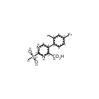 Cc1cc(F)ccc1-c1cnc(S(C)(=O)=O)nc1C(=O)O